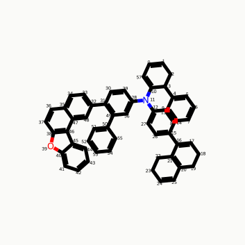 C1=CCC(c2ccccc2)C(N(c2ccc(C3=CCCC4=C3CCC=C4)cc2)c2ccc(-c3ccc4ccc5oc6ccccc6c5c4c3)c(-c3ccccc3)c2)=C1